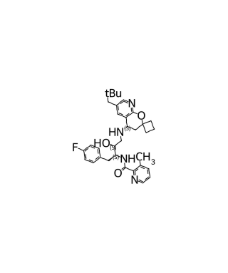 Cc1cccnc1C(=O)N[C@@H](Cc1ccc(F)cc1)[C@@H](O)CN[C@H]1CC2(CCC2)Oc2ncc(CC(C)(C)C)cc21